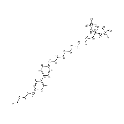 CCCCCOc1ccc(-c2ccc(OCCCCCCCCCCC[Si](C)(O[Si](C)(C)C)O[Si](C)(C)C)cc2)cc1